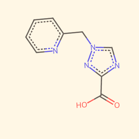 O=C(O)c1ncn(Cc2ccccn2)n1